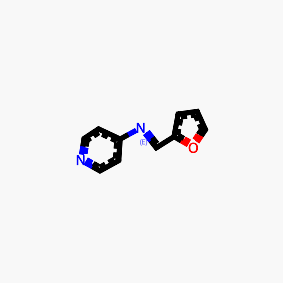 C(=N\c1ccncc1)/c1ccco1